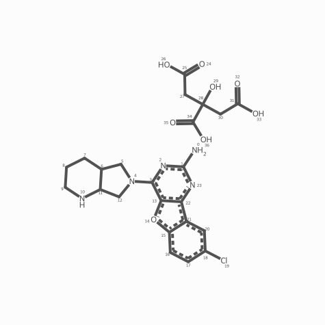 Nc1nc(N2CC3CCCNC3C2)c2oc3ccc(Cl)cc3c2n1.O=C(O)CC(O)(CC(=O)O)C(=O)O